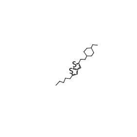 CCCCCc1cc2cc(CCC3CCC(CC)CC3)sc2s1